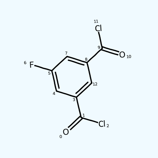 O=C(Cl)c1cc(F)cc(C(=O)Cl)c1